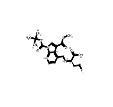 COC(=O)c1cn(C(=O)OC(C)(C)C)c2nccc(CN[C@H](CCF)C(=O)O)c12